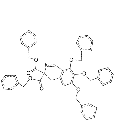 O=C(OCc1ccccc1)C1(C(=O)OCc2ccccc2)Cc2cc(OCc3ccccc3)c(OCc3ccccc3)c(OCc3ccccc3)c2C=N1